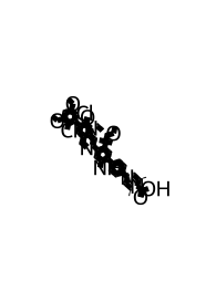 CCn1c(=O)c(-c2c(Cl)c(OC)cc(OC)c2Cl)cc2cnc(-c3cc(N)c(-c4ccc(N5C[C@@H](C)N(C(=O)O)[C@@H](C)C5)cc4)cc3C(C)(C)COC)cc21